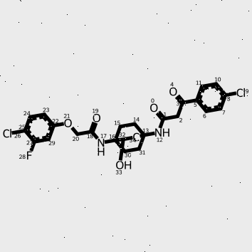 O=C(CC(=O)c1ccc(Cl)cc1)NC12CCC(NC(=O)COc3ccc(Cl)c(F)c3)(CC1)C(O)C2